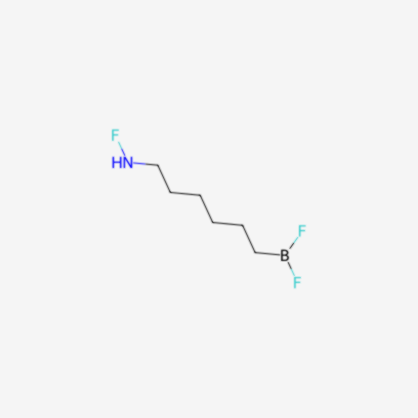 FNCCCCCCB(F)F